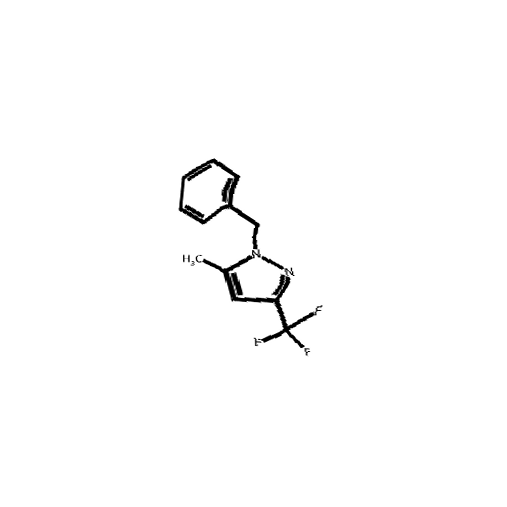 Cc1cc(C(F)(F)F)nn1Cc1ccccc1